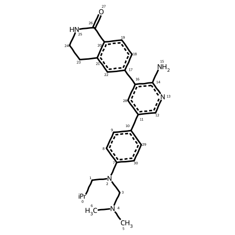 CC(C)CN(CN(C)C)c1ccc(-c2cnc(N)c(-c3ccc4c(c3)CCNC4=O)c2)cc1